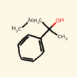 CC(C)(O)c1ccccc1.CC(C)=O